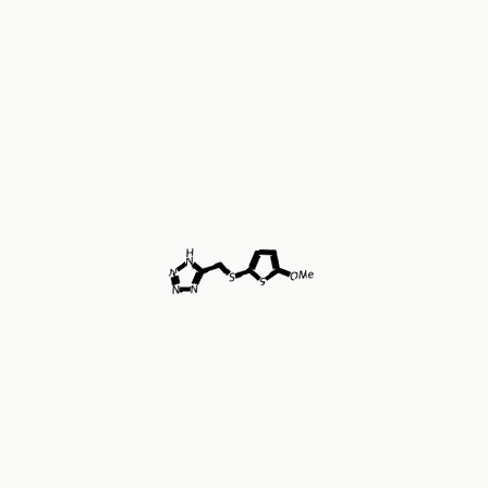 COc1ccc(SCc2nnn[nH]2)s1